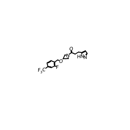 O=C(CCc1ccn[nH]1)N1CC(OCc2ccc(C(F)(F)F)cc2F)C1